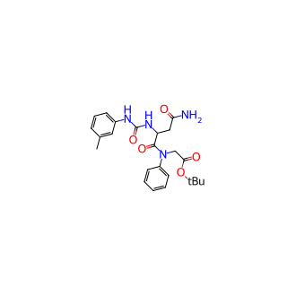 Cc1cccc(NC(=O)NC(CC(N)=O)C(=O)N(CC(=O)OC(C)(C)C)c2ccccc2)c1